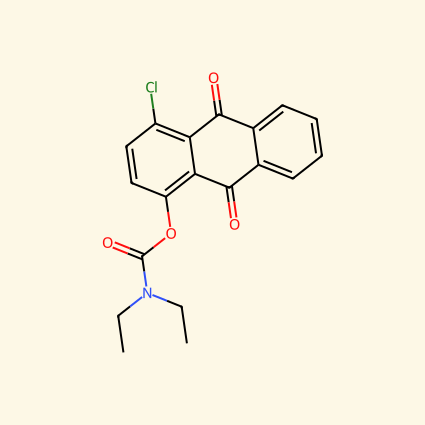 CCN(CC)C(=O)Oc1ccc(Cl)c2c1C(=O)c1ccccc1C2=O